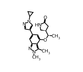 Cc1c2c(O[C@H](C)[C@H]3CNC(=O)C3)cc(-c3cnn(C4CC4)c3)cc2nn1C